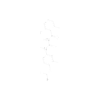 Cc1c(SC(F)F)ccc(N(C)C(=O)NC(=O)c2c(F)cccc2F)c1C